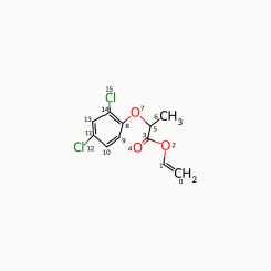 C=COC(=O)C(C)Oc1ccc(Cl)cc1Cl